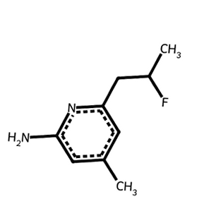 Cc1cc(N)nc(CC(C)F)c1